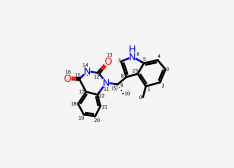 Cc1cccc2[nH]cc([C@H](C)N3C(=O)[N]C(=O)c4ccccc43)c12